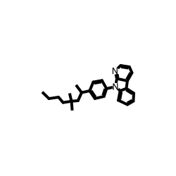 CCCCC(C)(C)CC(C)c1ccc(-n2c3ccccc3c3cccnc32)cc1